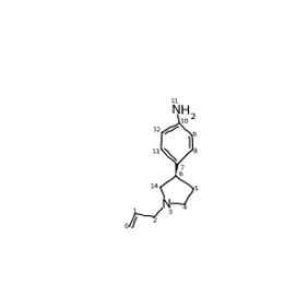 C=CCN1CC[C@H](c2ccc(N)cc2)C1